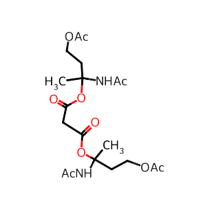 CC(=O)NC(C)(CCOC(C)=O)OC(=O)CC(=O)OC(C)(CCOC(C)=O)NC(C)=O